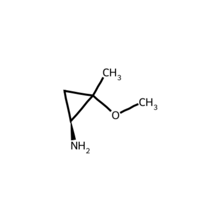 COC1(C)C[C@@H]1N